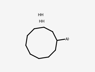 [Al][CH]1CCCCCCCCC1.[HH].[HH]